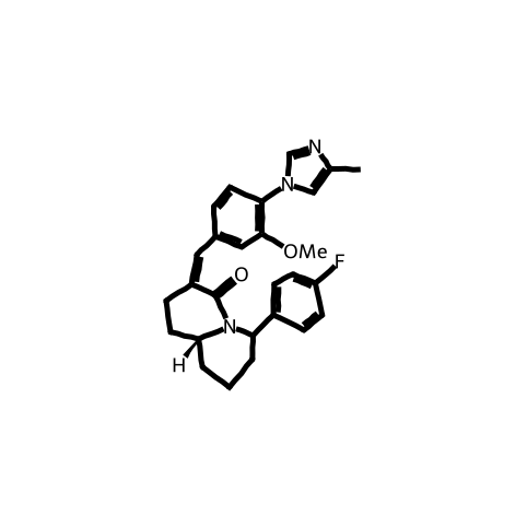 COc1cc(/C=C2/CC[C@H]3CCCC(c4ccc(F)cc4)N3C2=O)ccc1-n1cnc(C)c1